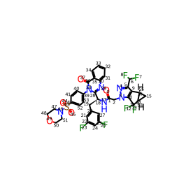 O=C(Cn1nc(C(F)F)c2c1C(F)(F)[C@@H]1C[C@H]21)N[C@@H](Cc1cc(F)cc(F)c1)c1nc2ccccc2c(=O)n1-c1ccc(S(=O)(=O)N2CCOCC2)cc1